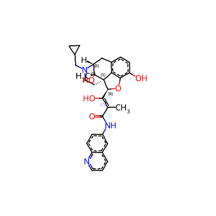 C/C(C(=O)Nc1ccc2ncccc2c1)=C(/O)[C@@H]1Oc2c(O)ccc3c2[C@@]12CCN(CC1CC1)[C@H](C3)[C@@]2(C)O